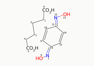 O=C(O)CCCCC(=O)O.ON=C1C=CC(=NO)C=C1